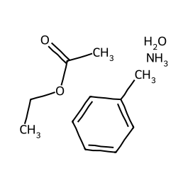 CCOC(C)=O.Cc1ccccc1.N.O